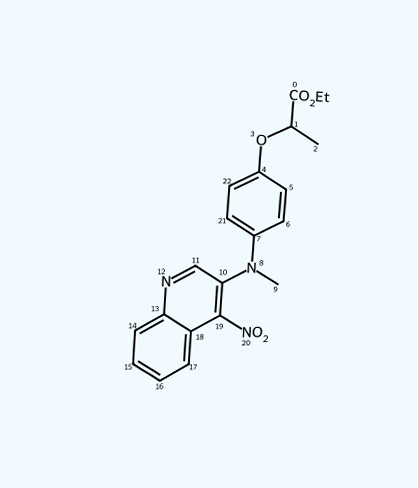 CCOC(=O)C(C)Oc1ccc(N(C)c2cnc3ccccc3c2[N+](=O)[O-])cc1